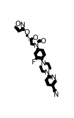 N#Cc1ccc(N2CCN(c3ccc(N4C[C@H](COc5ccon5)OC4=O)cc3F)CC2)nc1